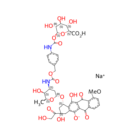 COc1cccc2c1C(=O)c1c(O)c3c(c([O-])c1C2=O)C[C@@](O)(C(=O)CO)C[C@@H]3O[C@H]1C[C@H](NC(=O)OCc2ccc(NC(=O)O[C@@H]3O[C@H](C(=O)O)[C@@H](O)[C@H](O)[C@H]3O)cc2)[C@H](O)[C@H](C)O1.[Na+]